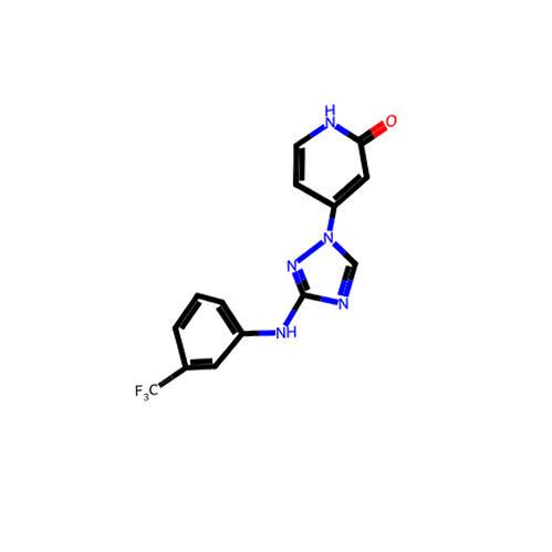 O=c1cc(-n2cnc(Nc3cccc(C(F)(F)F)c3)n2)cc[nH]1